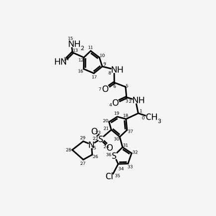 CC(NC(=O)CC(=O)Nc1ccc(C(=N)N)cc1)c1ccc(S(=O)(=O)N2CCCC2)c(-c2ccc(Cl)s2)c1